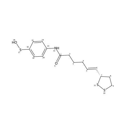 O=C(CCC/C=C/[C@@H]1CCSS1)Nc1ccc(SO)cc1